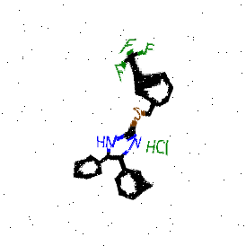 Cl.FC(F)(F)c1cccc(CSC2=NC(c3ccccc3)C(c3ccccc3)N2)c1